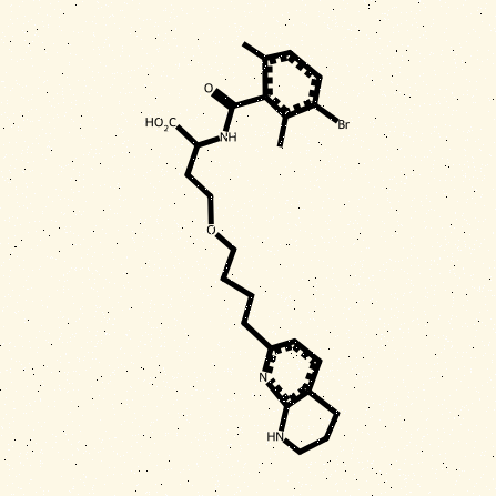 Cc1ccc(Br)c(C)c1C(=O)NC(CCOCCCCc1ccc2c(n1)NCCC2)C(=O)O